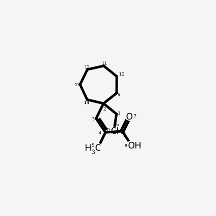 CCC1(C=C(C)C(=O)O)CCCCCC1